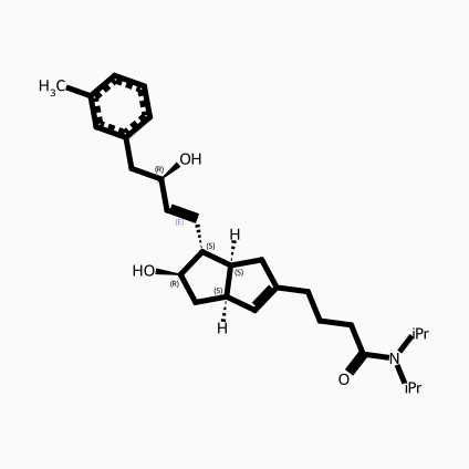 Cc1cccc(C[C@@H](O)/C=C/[C@@H]2[C@H]3CC(CCCC(=O)N(C(C)C)C(C)C)=C[C@H]3C[C@H]2O)c1